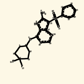 Nc1[nH]c2c(OC3CCC(F)(F)CC3)ncnc2c1S(=O)(=O)c1ccccc1